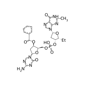 CC[C@H]1O[C@@H](n2cnc3c(=O)[nH]c(C)nc32)C[C@H]1OP(=O)(O)OC[C@H]1O[C@@H](n2cnc(N)nc2=O)C[C@H]1OC(=O)c1ccccc1